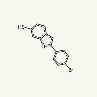 Sc1ccc2cc(-c3ccc(Br)cc3)oc2c1